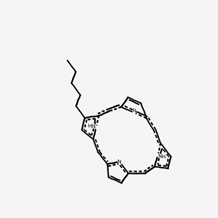 CCCCCc1cc2cc3nc(cc4ccc(cc5nc(cc1[nH]2)C=C5)[nH]4)C=C3